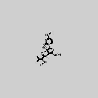 CC(C)[C@H](NCl)C(=O)OC1[C@@H](CO)O[C@@H](n2ccc(NCl)nc2=O)[C@@]1(C)O